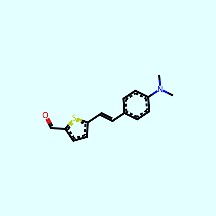 CN(C)c1ccc(C=Cc2ccc(C=O)s2)cc1